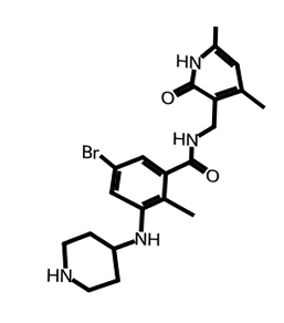 Cc1cc(C)c(CNC(=O)c2cc(Br)cc(NC3CCNCC3)c2C)c(=O)[nH]1